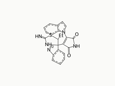 CCC(SC(=N)N)C1(C2=C(n3ccc4ccccc43)C(=O)NC2=O)C=Nc2ccccc21